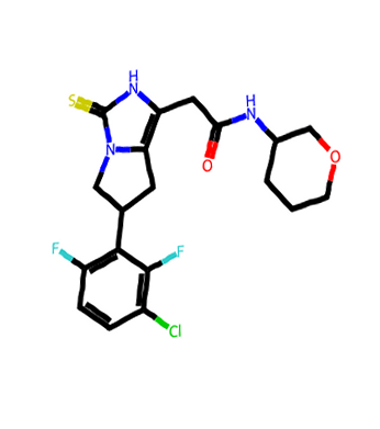 O=C(Cc1[nH]c(=S)n2c1CC(c1c(F)ccc(Cl)c1F)C2)NC1CCCOC1